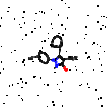 CCOC(=O)c1c(-c2ccccc2)n(-c2ccc(C#N)cc2)n(C)c1=O